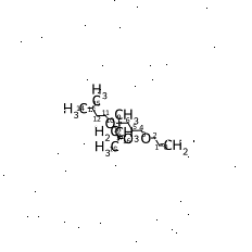 C=CCOCC(CC(C)(C)OCCC(C)C)OC(=C)C